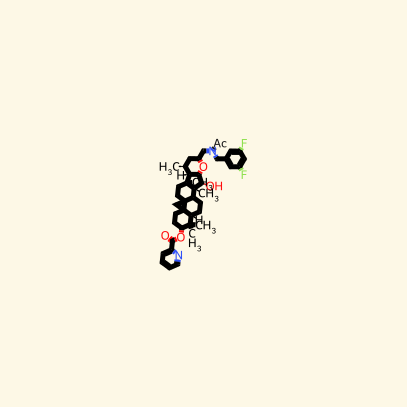 CC(=O)N(Cc1cc(F)cc(F)c1)CC1C[C@@H](C)[C@H]2C(O1)[C@H](O)[C@@]1(C)C3CC[C@H]4C(C)(C)C(OC(=O)c5ccccn5)CCC45CC35CCC21C